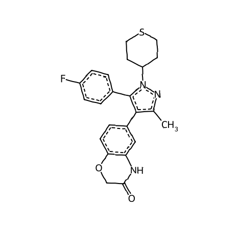 Cc1nn(C2CCSCC2)c(-c2ccc(F)cc2)c1-c1ccc2c(c1)NC(=O)CO2